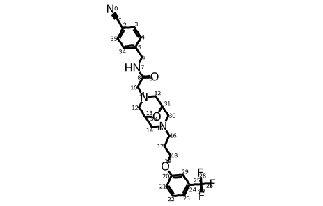 N#Cc1ccc(CNC(=O)CN2CC3CN(CCCOc4cccc(C(F)(F)F)c4)CC(C2)O3)cc1